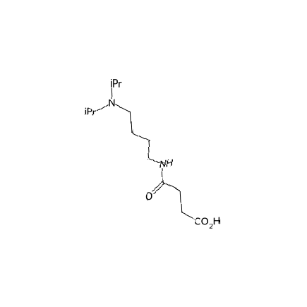 CC(C)N(CCCCNC(=O)CCC(=O)O)C(C)C